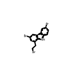 BrCCc1cc(Br)cc2c1[nH]c1ccc(Br)cc12